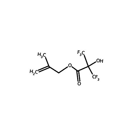 C=C(C)COC(=O)C(O)(C(F)(F)F)C(F)(F)F